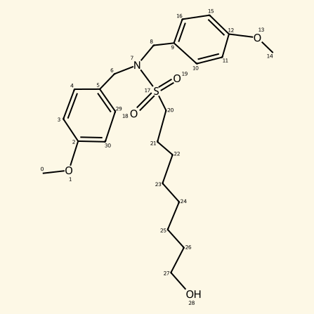 COc1ccc(CN(Cc2ccc(OC)cc2)S(=O)(=O)CCCCCCCCO)cc1